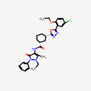 CCOc1ccc(Cl)cc1-c1nnc([C@H]2CCC[C@@H](C(=O)Nc3c(C)n(CC)n(-c4ccccc4)c3=O)C2)o1